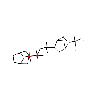 CC(C)(C)C1CC2CCC(C1)N2C(C)(C)CCC(C)(C)C1CC2CC1CN2C(C)(C)C